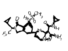 CS(=O)(=O)Nc1cc(-c2ccn3nc(N)c(C(=O)NC4CC4)c3n2)cc2c1C(=O)N([C@@H](C1CC1)C(F)(F)F)C2